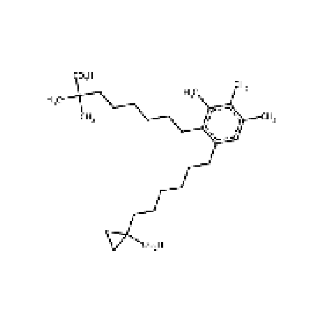 Cc1cc(CCCCCCC2(C(=O)O)CC2)c(CCCCCCC(C)(C)C(=O)O)c(C)c1C